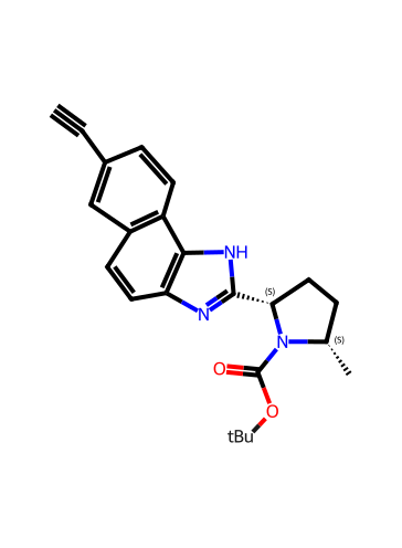 C#Cc1ccc2c(ccc3nc([C@@H]4CC[C@H](C)N4C(=O)OC(C)(C)C)[nH]c32)c1